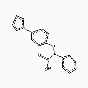 O=C(O)C(Oc1ccc(-n2cccc2)cc1)c1ccccc1